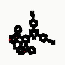 N#Cc1ccc(-c2nc(-c3ccc(C#N)cc3)nc(-c3cc(-n4c5ccccc5c5ccccc54)c(N4c5ccccc5Sc5ccccc54)c(-n4c5ccccc5c5ccccc54)c3)n2)cc1